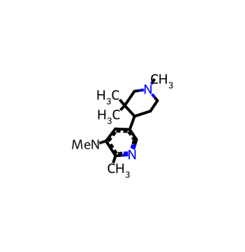 [C]Nc1cc(C2CCN(C)CC2(C)C)cnc1C